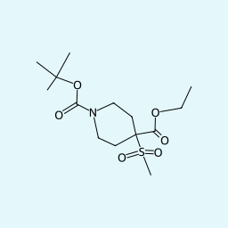 CCOC(=O)C1(S(C)(=O)=O)CCN(C(=O)OC(C)(C)C)CC1